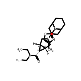 CCN(CC)C(=O)[C@@H]1[C@@H]2CN(C3CC4CCCC(C3)N4c3nc(C)no3)C[C@@H]21